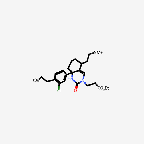 CCOC(=O)CCN1C=C2C(CCNC)CCCC2(c2ccc(CCC(C)(C)C)c(Cl)c2)NC1=O